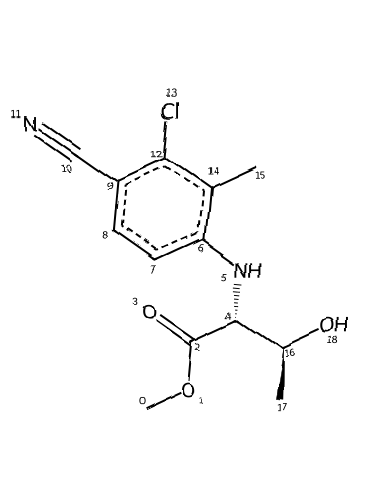 COC(=O)[C@H](Nc1ccc(C#N)c(Cl)c1C)[C@H](C)O